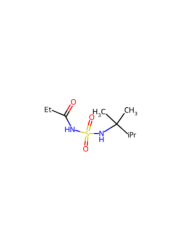 CCC(=O)NS(=O)(=O)NC(C)(C)C(C)C